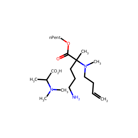 C=CCCN(C)C(C)(CCCN)C(=O)OCCCCC.CC(C(=O)O)N(C)C